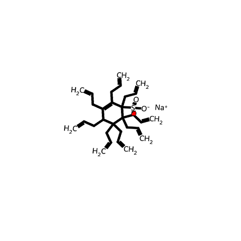 C=CCC1=C(CC=C)C(CC=C)(S(=O)(=O)[O-])C(CC=C)(CC=C)C(CC=C)(CC=C)C1CC=C.[Na+]